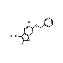 Cc1[nH]c2cc(OCc3ccccc3)ccc2c1C(=O)[O-].[K+]